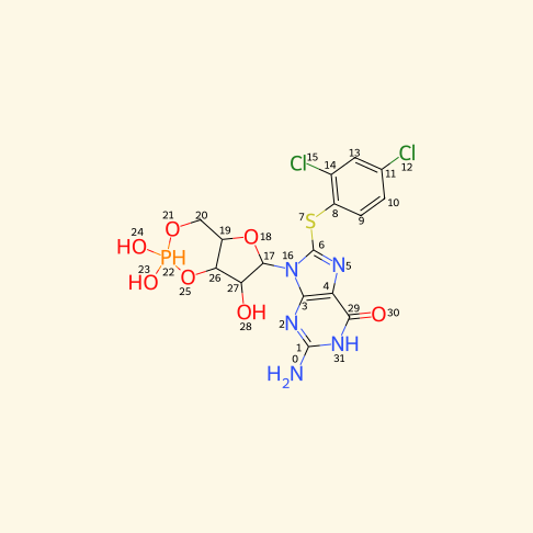 Nc1nc2c(nc(Sc3ccc(Cl)cc3Cl)n2C2OC3CO[PH](O)(O)OC3C2O)c(=O)[nH]1